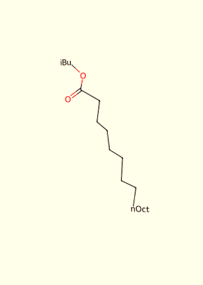 [CH2]CC(C)OC(=O)CCCCCCCCCCCCCCC